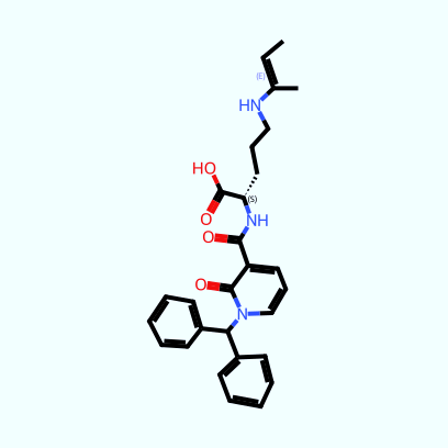 C/C=C(\C)NCCC[C@H](NC(=O)c1cccn(C(c2ccccc2)c2ccccc2)c1=O)C(=O)O